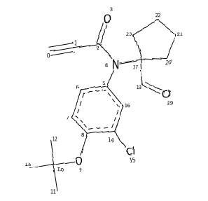 C#CC(=O)N(c1ccc(OC(C)(C)C)c(Cl)c1)C1(C=O)CCCC1